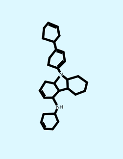 C1=CCC(NC2C=CCC3C2C2CCCCC2N3C2=CC=C(C3CC=CCC3)CC2)CC1